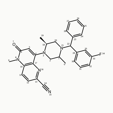 CC1CN(c2cc(=O)n(C)c3ccc(C#N)nc23)[C@@H](C)CN1C(c1ccccc1)c1cccc(F)c1